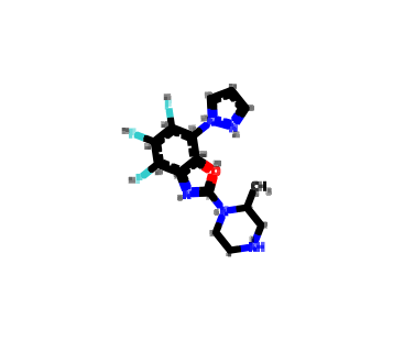 CC1CNCCN1c1nc2c(F)c(F)c(F)c(-n3cccn3)c2o1